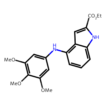 CCOC(=O)c1cc2c(Nc3cc(OC)c(OC)c(OC)c3)cccc2[nH]1